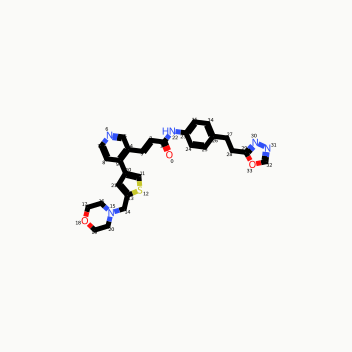 O=C(C=Cc1cnccc1-c1csc(CN2CCOCC2)c1)Nc1ccc(CCc2nnco2)cc1